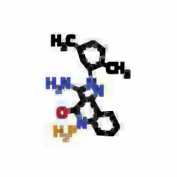 Cc1ccc(C)c(-n2nc3c(c2N)c(=O)n(P)c2ccccc32)c1